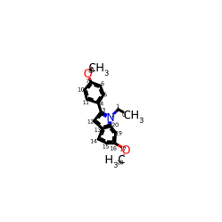 CCn1c(-c2ccc(OC)cc2)cc2ccc(OC)cc21